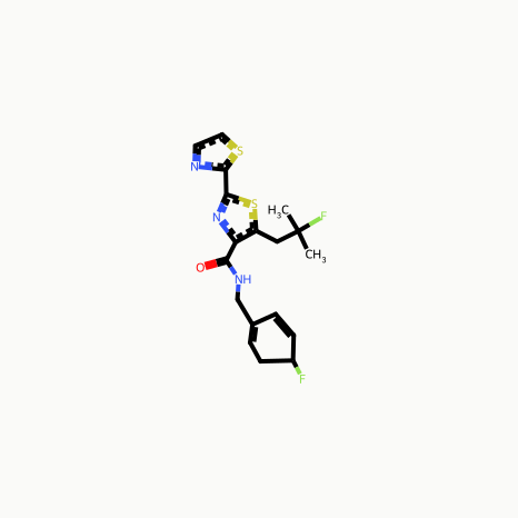 CC(C)(F)Cc1sc(-c2nccs2)nc1C(=O)NCC1=CCC(F)C=C1